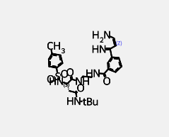 Cc1ccc(S(=O)(=O)N[C@@H](CC(=O)NC(C)(C)C)C(=O)NCCNC(=O)c2cccc(C(=N)/C=C\N)c2)cc1